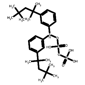 CC(C)(C)CC(C)(C)c1cccc([SH](OP(=O)(O)OP(=O)(O)O)c2cccc(C(C)(C)CC(C)(C)C)c2)c1